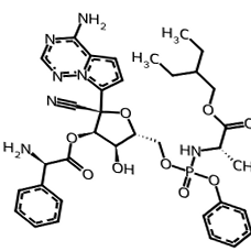 CCC(CC)COC(=O)[C@H](C)NP(=O)(OC[C@H]1O[C@@](C#N)(c2ccc3c(N)ncnn23)[C@H](OC(=O)[C@H](N)c2ccccc2)[C@@H]1O)Oc1ccccc1